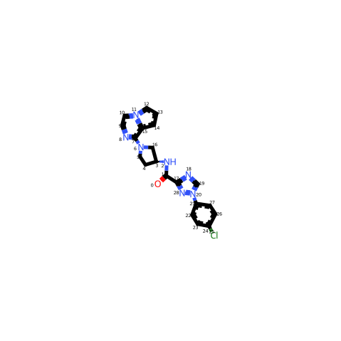 O=C(N[C@H]1CCN(c2nccn3cccc23)C1)c1ncn(-c2ccc(Cl)cc2)n1